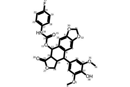 COc1cc(C2c3cc4c(cc3C(OC(=O)Nc3ccc(F)cc3)C3C(=O)OCC23)OCO4)cc(OC)c1O